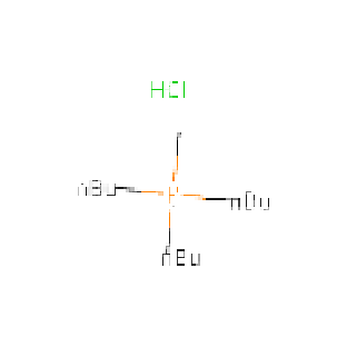 CCCC[P](C)(CCCC)CCCC.Cl